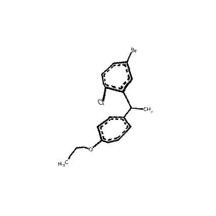 CCOc1ccc(C(C)c2cc(Br)ccc2Cl)cc1